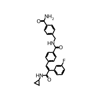 NC(=O)c1ccc(CNC(=O)c2ccc(/C=C(/C(=O)NC3CC3)c3cccc(F)c3)cc2)cc1